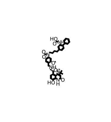 COc1cc2c(cc1CNC[C@@H](O[Si](C)(C)C(C)(C)C)c1ccc(O)c3[nH]c(=O)ccc13)oc(=O)n2CCCCc1ccc(-c2ccccc2)c(NC(=O)O)c1